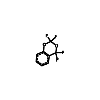 FC1(F)Oc2ccccc2C(F)(F)O1